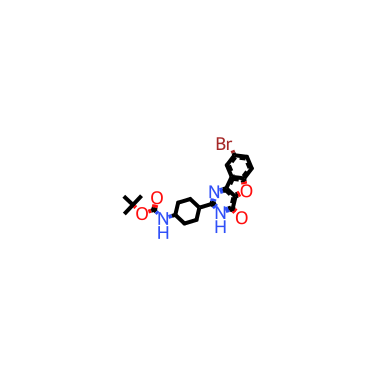 CC(C)(C)OC(=O)NC1CCC(c2nc3c(oc4ccc(Br)cc43)c(=O)[nH]2)CC1